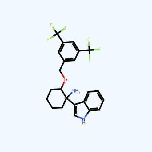 NC1(c2c[nH]c3ccccc23)CCCCC1OCc1cc(C(F)(F)F)cc(C(F)(F)F)c1